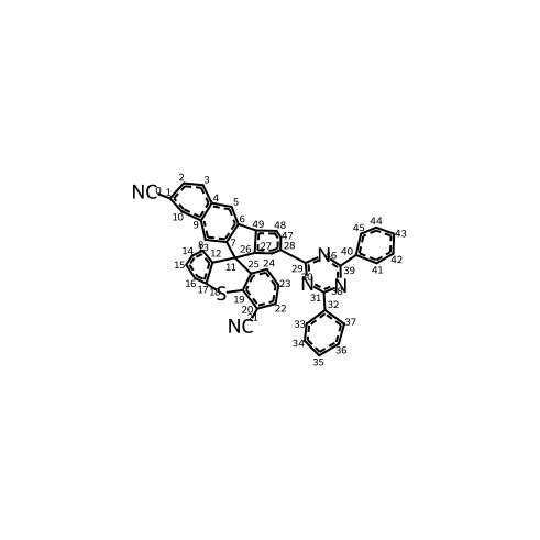 N#Cc1ccc2cc3c(cc2c1)C1(c2ccccc2Sc2c(C#N)cccc21)c1cc(-c2nc(-c4ccccc4)nc(-c4ccccc4)n2)ccc1-3